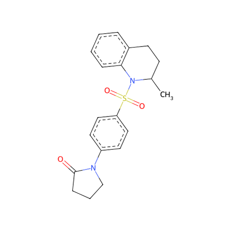 CC1CCc2ccccc2N1S(=O)(=O)c1ccc(N2CCCC2=O)cc1